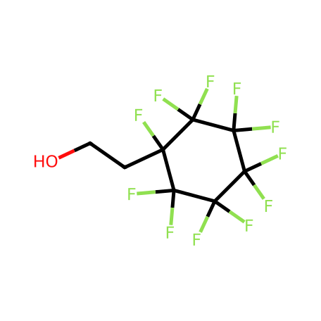 OCCC1(F)C(F)(F)C(F)(F)C(F)(F)C(F)(F)C1(F)F